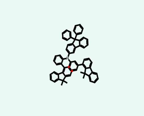 CC1(C)c2ccccc2-c2c(-c3ccccc3N(c3cccc(-c4cccc5c4C(C)(C)c4ccccc4-5)c3)c3ccc4c(c3)-c3ccccc3C4(c3ccccc3)c3ccccc3)cccc21